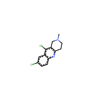 CN1CCc2nc3ccc(Cl)cc3c(Cl)c2C1